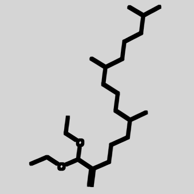 C=C(CCCC(C)CCCC(C)CCCC(C)C)C(OCC)OCC